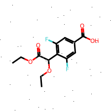 CCOC(=O)C(OCC)c1c(F)cc(C(=O)O)cc1F